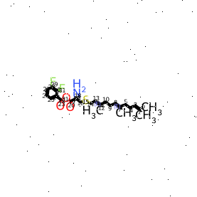 CC(C)=CCC/C(C)=C/CC/C(C)=C/CSC[C@H](N)C(=O)OC(=O)c1cccc(F)c1F